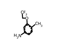 Cc1ccc(N)cc1OCC(F)(F)F